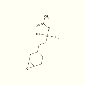 CC(=O)O[Si](C)(C)CCC1CCC2OC2C1